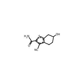 N#Cc1c(C(N)=O)sc2c1CCC(O)C2